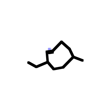 CCC1/C=C/CCC(C)CC1